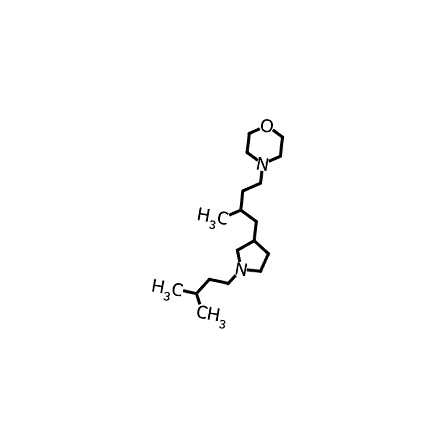 CC(C)CCN1CCC(CC(C)CCN2CCOCC2)C1